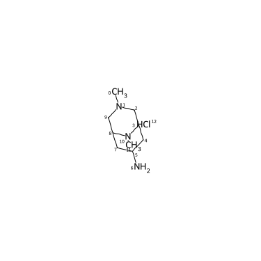 CN1CC2CC(N)CC(C1)N2C.Cl